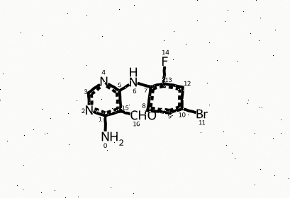 Nc1ncnc(Nc2ccc(Br)cc2F)c1C=O